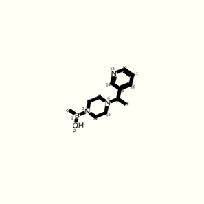 CB(O)N1CCN(C(C)c2cccnc2)CC1